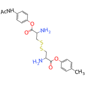 CC(=O)Nc1ccc(OC(=O)C(N)CSSCC(N)C(=O)Oc2ccc(C)cc2)cc1